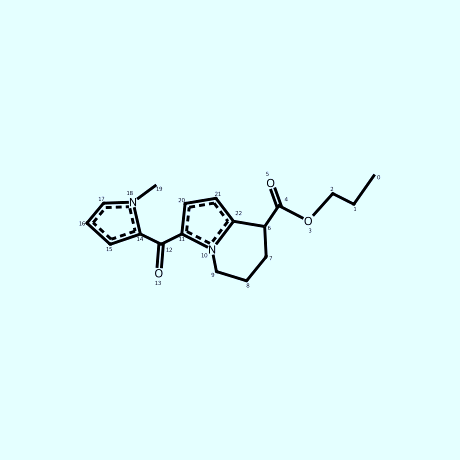 CCCOC(=O)C1CCCn2c(C(=O)c3cccn3C)ccc21